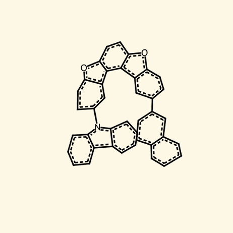 c1ccc2cc(-c3ccc4oc5ccc6oc7ccc(-n8c9ccccc9c9ccccc98)cc7c6c5c4c3)ccc2c1